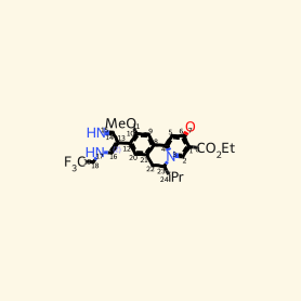 CCOC(=O)c1cn2c(cc1=O)-c1cc(OC)c(/C(C=N)=C/NCC(F)(F)F)cc1CC2C(C)C